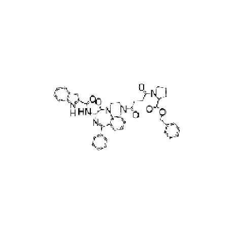 O=C(NC1N=C(c2ccccc2)c2cccc3c2N(CCN3C(=O)CCC(=O)N2CCC[C@H]2C(=O)OCc2ccccc2)C1=O)c1cc2ccccc2[nH]1